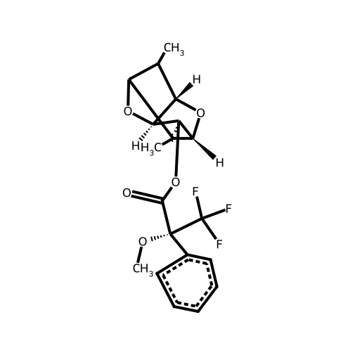 CO[C@@](C(=O)O[C@H]1[C@H]2OC3C(C)[C@H]1O[C@H]2C3C)(c1ccccc1)C(F)(F)F